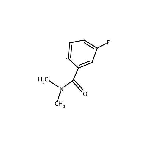 CN(C)C(=O)c1[c]ccc(F)c1